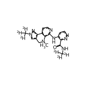 [2H]C([2H])([2H])NC(=O)c1nnccc1Nc1nccc2c1N(C)Cc1cn(C([2H])([2H])[2H])nc1-2